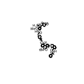 COc1c(NC(=O)CN2CCC3(CC2)CC(COc2cccc(-c4ccc(N5CCc6cccc(C(=O)Nc7nc8ccccc8s7)c6C5)nc4C(=O)OC(C)(C)C)c2C(F)(F)F)C3)ccc2c(C3CCC(=O)NC3=O)nn(C)c12